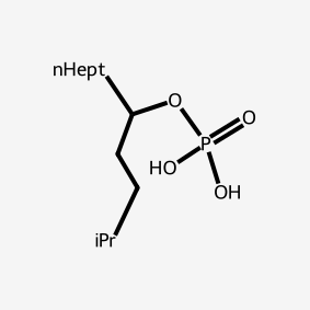 CCCCCCCC(CCC(C)C)OP(=O)(O)O